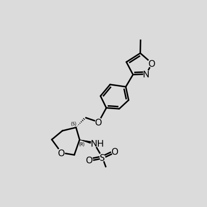 Cc1cc(-c2ccc(OC[C@H]3CCOC[C@@H]3NS(C)(=O)=O)cc2)no1